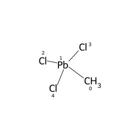 [CH3][Pb]([Cl])([Cl])[Cl]